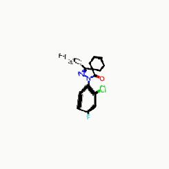 CC1=NN(c2ccc(F)cc2Cl)C(=O)C12CCCCC2